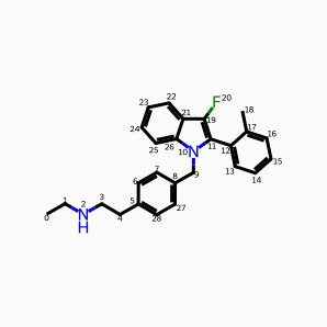 CCNCCc1ccc(Cn2c(-c3ccccc3C)c(F)c3ccccc32)cc1